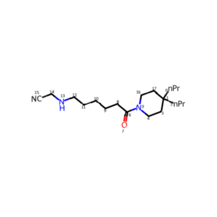 CCCC1(CCC)CCN(C(=O)CCCCCNCC#N)CC1